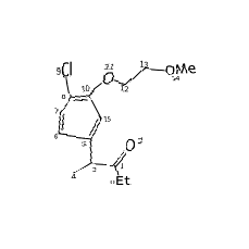 CCC(=O)C(C)c1ccc(Cl)c(OCCOC)c1